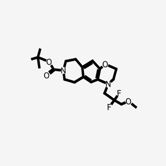 COCC(F)(F)CN1CCOc2cc3c(cc21)CCN(C(=O)OC(C)(C)C)CC3